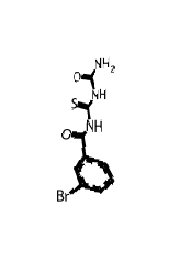 NC(=O)NC(=S)NC(=O)c1cccc(Br)c1